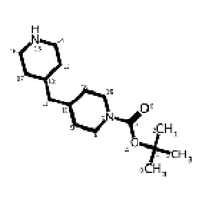 CC(C)(C)OC(=O)N1CCC(CC2CCNCC2)CC1